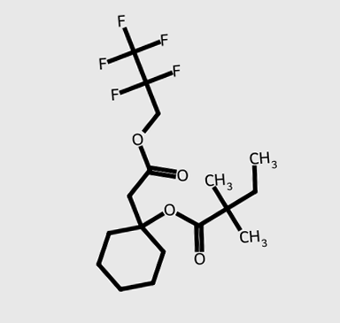 CCC(C)(C)C(=O)OC1(CC(=O)OCC(F)(F)C(F)(F)F)CCCCC1